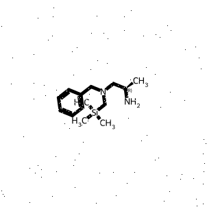 C[C@@H](N)CN(Cc1ccccc1)C[Si](C)(C)C